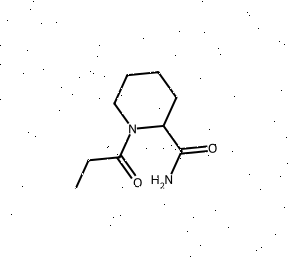 CCC(=O)N1CCCCC1C(N)=O